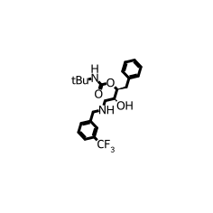 CC(C)(C)NC(=O)O[C@@H](Cc1ccccc1)[C@H](O)CNCc1cccc(C(F)(F)F)c1